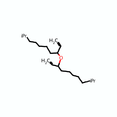 C=CC(CCCCCC(C)C)OC(C=C)CCCCCC(C)C